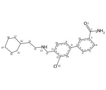 NC(=O)c1cccc(-c2ccc(CNCCC3CCCCC3)c(Cl)c2)c1